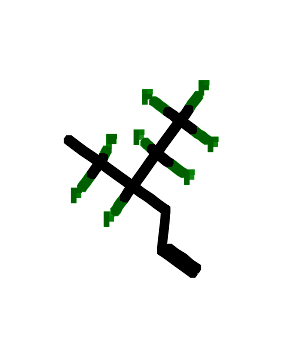 C=CCC(F)(C(C)(F)F)C(F)(F)C(F)(F)F